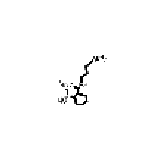 NCCCNC(=O)c1ccccc1B(O)O